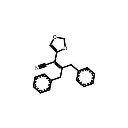 N#CC(C1=COCO1)=C(Cc1ccccc1)Cc1ccccc1